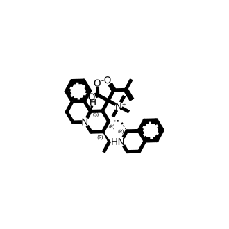 C=C(C)C(=O)C(C(=O)[O-])(C1[C@H]2c3ccccc3CCN2C[C@H](CC)[C@H]1C[C@H]1NCCc2ccccc21)[N+](C)(C)C